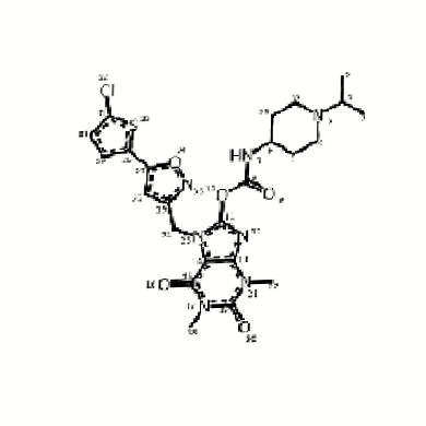 CC(C)N1CCC(NC(=O)Oc2nc3c(c(=O)n(C)c(=O)n3C)n2Cc2cc(-c3ccc(Cl)s3)on2)CC1